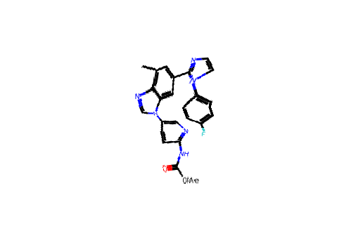 COC(=O)Nc1ccc(-n2cnc3c(C)cc(-c4nccn4-c4ccc(F)cc4)cc32)cn1